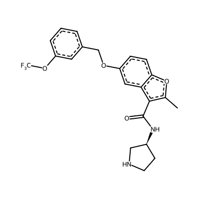 Cc1oc2ccc(OCc3cccc(OC(F)(F)F)c3)cc2c1C(=O)N[C@H]1CCNC1